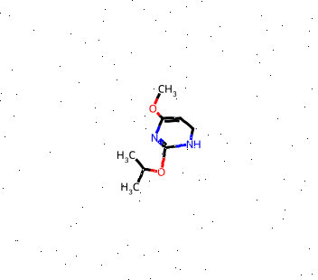 COC1=C[CH]NC(OC(C)C)=N1